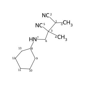 CC(C#N)C(C)(C#N)CNC1CCCCC1